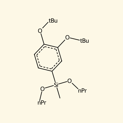 CCCO[Si](C)(OCCC)c1ccc(OC(C)(C)C)c(OC(C)(C)C)c1